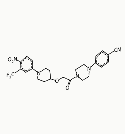 N#Cc1ccc(N2CCN(C(=O)COC3CCN(c4ccc([N+](=O)[O-])c(C(F)(F)F)c4)CC3)CC2)cc1